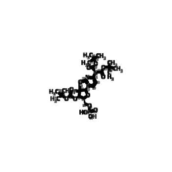 CC(C)(C)OC(=O)O[C@@H]1[C@@H](COP(=O)(O)O)O[C@@H](n2ccc(N(C(=O)OC(C)(C)C)C(=O)OC(C)(C)C)nc2=O)C1(F)F